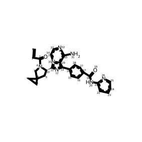 C=CC(=O)N1CC2(CC2)C[C@H]1c1nc(-c2ccc(C(=O)Nc3ccccn3)cc2)c2c(N)nccn12